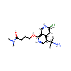 CN(C)C(=O)CCCOc1ncc(C(C)(C)N)c2cc(Cl)ncc12